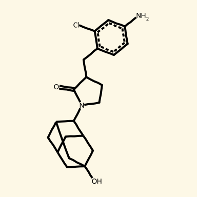 Nc1ccc(CC2CCN(C3C4CC5CC3CC(O)(C5)C4)C2=O)c(Cl)c1